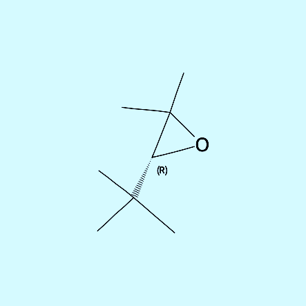 CC(C)(C)[C@H]1OC1(C)C